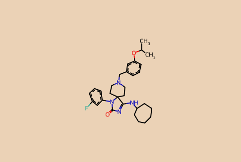 CC(C)Oc1cccc(CN2CCC3(CC2)C(NC2CCCCCC2)=NC(=O)N3c2cccc(F)c2)c1